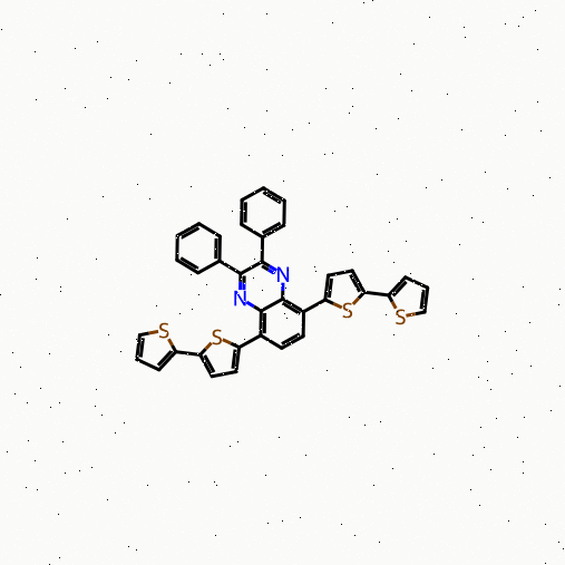 c1ccc(-c2nc3c(-c4ccc(-c5cccs5)s4)ccc(-c4ccc(-c5cccs5)s4)c3nc2-c2ccccc2)cc1